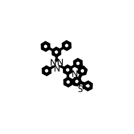 c1ccc(-c2cc(-c3ccccc3)cc(-c3nc(-c4ccccc4)nc(-c4cc(-c5ccccc5)c(-n5c6ccccc6c6c7c(ccc65)sc5ccccc57)c(-c5ccccc5)c4)n3)c2)cc1